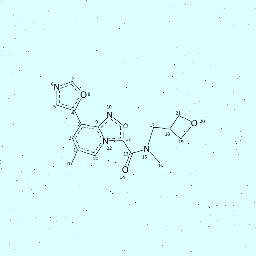 Cc1cc(-c2cnco2)c2ncc(C(=O)N(C)CC3COC3)n2c1